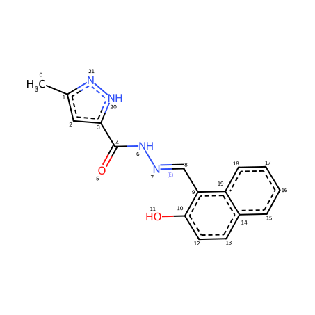 Cc1cc(C(=O)N/N=C/c2c(O)ccc3ccccc23)[nH]n1